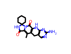 Cc1c2c(c(=O)n3c1C(=O)NC31CCCCC1)Nc1nc(N)ncc1C2